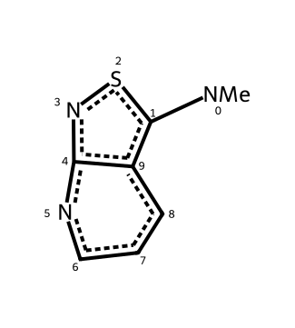 CNc1snc2ncccc12